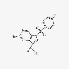 CCC(=O)c1cn(S(=O)(=O)c2ccc(C)cc2)c2cnc(Br)cc12